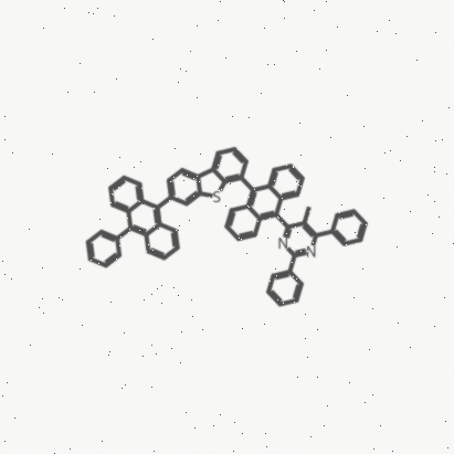 Cc1c(-c2ccccc2)nc(-c2ccccc2)nc1-c1c2ccccc2c(-c2cccc3c2sc2cc(-c4c5ccccc5c(-c5ccccc5)c5ccccc45)ccc23)c2ccccc12